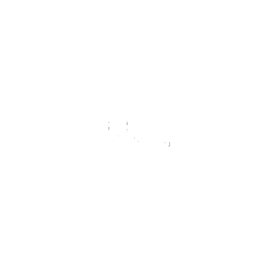 Cc1cccc2c1CCN2CCN